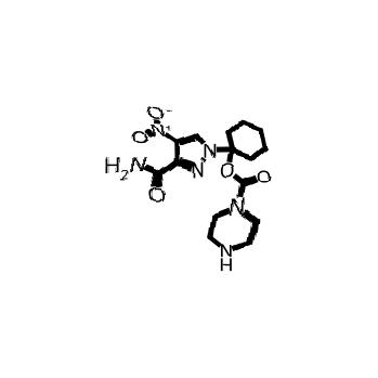 NC(=O)c1nn(C2(OC(=O)N3CCNCC3)CCCCC2)cc1[N+](=O)[O-]